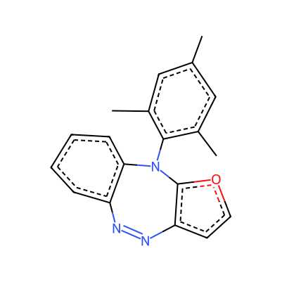 Cc1cc(C)c(N2c3ccccc3N=Nc3ccoc32)c(C)c1